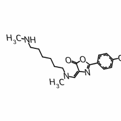 CNCCCCCCN(C)C=C1N=C(c2ccc(Cl)cc2)OC1=O